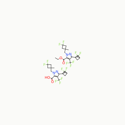 CC1(Cn2nc(C34CC(C3)C4(F)F)c(C(F)(F)F)c2C(=O)O)CC(F)(F)C1.CCOC(=O)c1c(C(F)(F)F)c(C23CC(C2)C3(F)F)nn1CC1(C)CC(F)(F)C1